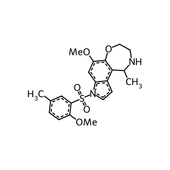 COc1ccc(C)cc1S(=O)(=O)n1ccc2c3c(c(OC)cc21)OCCNC3C